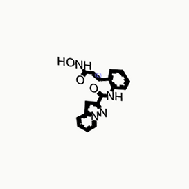 O=C(/C=C/c1ccccc1NC(=O)c1cc2ccccn2n1)NO